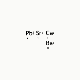 [Ba].[Ca].[Pb].[Sr]